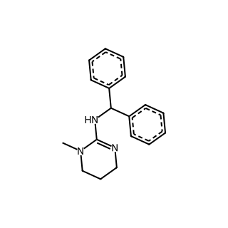 CN1CCCN=C1NC(c1ccccc1)c1ccccc1